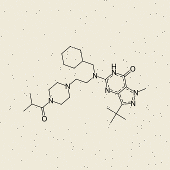 CC(C)C(=O)N1CCN(CCN(CC2CCCCC2)c2nc3c(C(C)(C)C)nn(C)c3c(=O)[nH]2)CC1